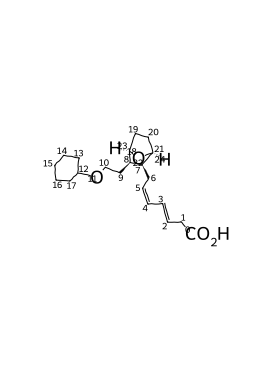 O=C(O)CC=C/C=C\C[C@H]1[C@@H](CCOC2CCCCC2)[C@H]2CC[C@@H]1O2